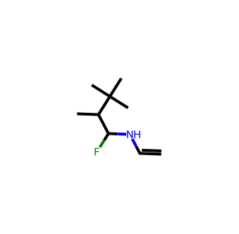 C=CNC(F)C(C)C(C)(C)C